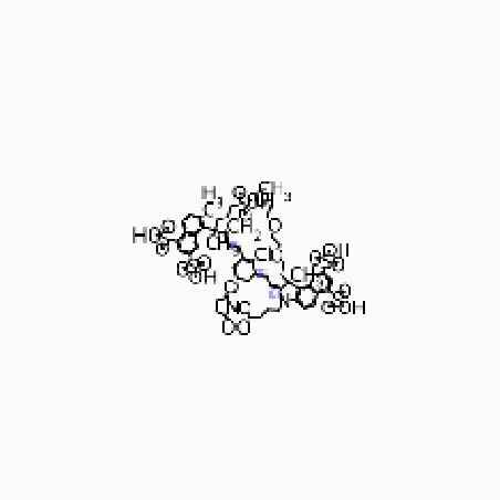 C=C(/C=C/C1=C(Cl)C(=C/C=C2/N(CCCC(=O)ON3C(=O)CCC3=O)c3ccc4c(S(=O)(=O)O)cc(S(=O)(=O)O)cc4c3C2(C)CCOCCOCCOC)/CCC1)C(C)(CCCS(=O)(=O)O)c1c(C)ccc2c(S(=O)(=O)O)cc(S(=O)(=O)O)cc12